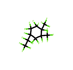 FC(F)(F)C(F)(F)C1(F)C(F)(F)C(F)(F)C(F)(C(F)(F)F)C(F)(C(F)(F)F)C1(F)F